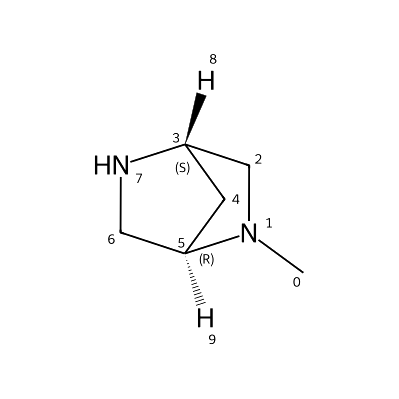 CN1C[C@@H]2C[C@@H]1CN2